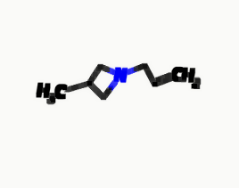 C=CCN1CC(C)C1